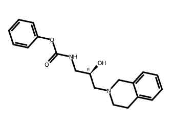 O=C(NC[C@@H](O)CN1CCc2ccccc2C1)Oc1ccccc1